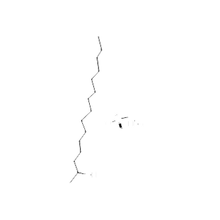 CCCCCCCCCCCCCC(C)O.O=S(=O)(O)O.[NaH]